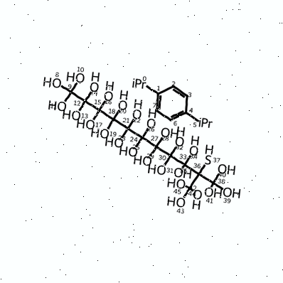 CC(C)c1ccc(C(C)C)cc1.OC(O)(O)C(O)(O)C(O)(O)C(O)(O)C(O)(O)C(O)(O)C(O)(O)C(O)(O)C(O)(O)C(S)(C(O)(O)O)C(O)(O)O